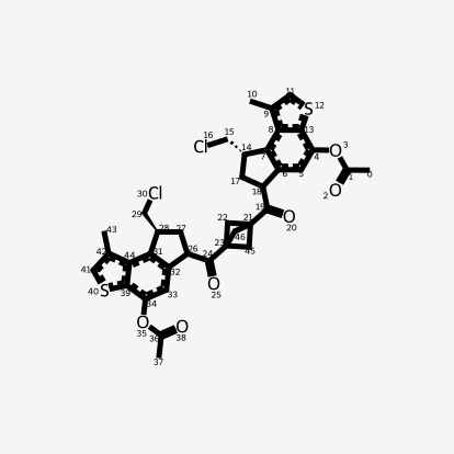 CC(=O)Oc1cc2c(c3c(C)csc13)[C@@H](CCl)CC2C(=O)C12CC(C(=O)C3C[C@H](CCl)c4c3cc(OC(C)=O)c3scc(C)c43)(C1)C2